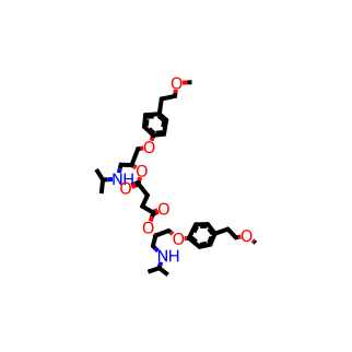 COCCc1ccc(OCC(CNC(C)C)OC(=O)CCC(=O)OC(CNC(C)C)COc2ccc(CCOC)cc2)cc1